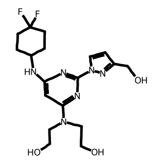 OCCN(CCO)c1cc(NC2CCC(F)(F)CC2)nc(-n2ccc(CO)n2)n1